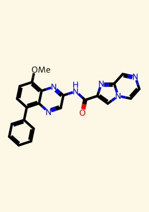 COc1ccc(-c2ccccc2)c2ncc(NC(=O)c3cn4ccncc4n3)nc12